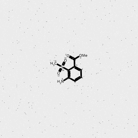 COC(=O)c1cccc(N)c1S(C)(=O)=O